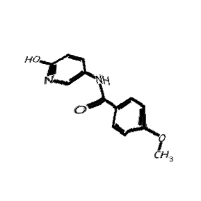 COc1ccc(C(=O)Nc2ccc(O)nc2)cc1